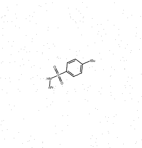 CCCNS(=O)(=O)c1ccc(C(C)(C)C)cc1